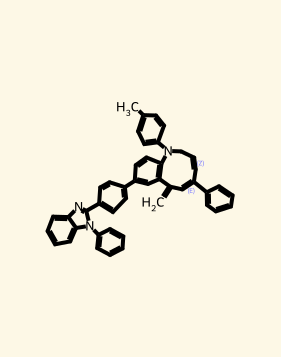 C=C1/C=C(c2ccccc2)\C=C/CN(c2ccc(C)cc2)c2ccc(-c3ccc(-c4nc5ccccc5n4-c4ccccc4)cc3)cc21